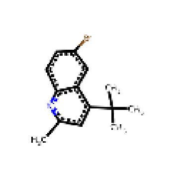 Cc1cc(C(C)(C)C)c2cc(Br)ccc2n1